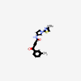 Cc1cccc(C(=O)C#CC(=O)NC2CCN(c3nc(C(C)(C)C)cs3)C2)c1